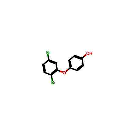 Oc1ccc(Oc2cc(Br)ccc2Br)cc1